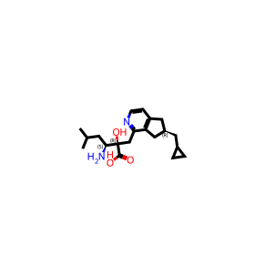 CC(C)C[C@H](N)[C@](O)(Cc1nccc2c1C[C@H](CC1CC1)C2)C(=O)O